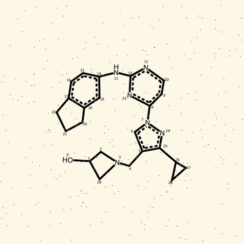 OC1CN(Cc2cn(-c3ccnc(Nc4ccc5c(c4)CCC5)n3)nc2C2CC2)C1